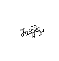 CCC(CC)CC[C@](C)(NC(=O)O[C@H](C)OC(=O)C(C)C)C(=O)O